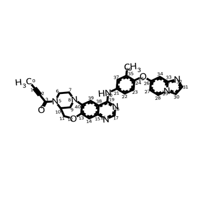 CC#CC(=O)N1CCN2CC1COc1cc3ncnc(Nc4ccc(Oc5ccn6ccnc6c5)c(C)c4)c3cc12